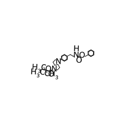 CC(C)(C)OC(=O)N1CCC2C1CCN2c1ccc(CCNC(=O)OCc2ccccc2)cc1